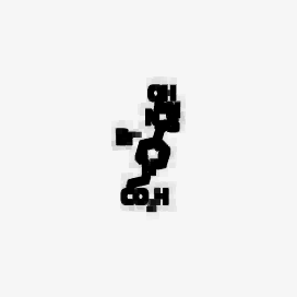 O=C(O)CC[n+]1ccc(-c2nc(O)ns2)cc1.[Br-]